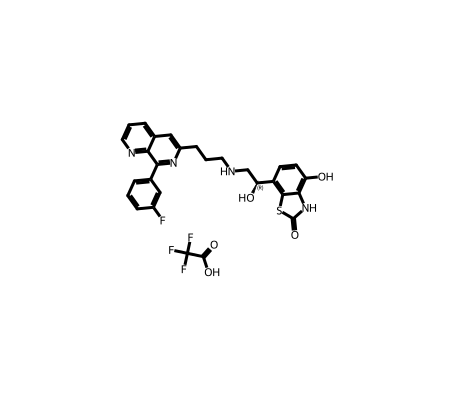 O=C(O)C(F)(F)F.O=c1[nH]c2c(O)ccc([C@@H](O)CNCCCc3cc4cccnc4c(-c4cccc(F)c4)n3)c2s1